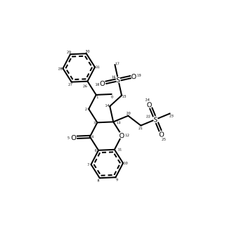 CC(CC1C(=O)c2ccccc2OC1(CCS(C)(=O)=O)CCS(C)(=O)=O)c1ccccc1